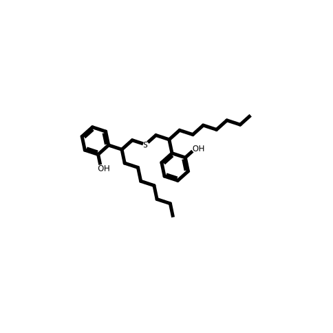 CCCCCCCC(CSCC(CCCCCCC)c1ccccc1O)c1ccccc1O